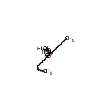 CCCCC/C=C\C/C=C\CCCCCCCCCCCC(=O)O[C@H](COCCCCCCCCCCCCCCCCCC)COP(=O)(O)OC[C@@H](O)CO